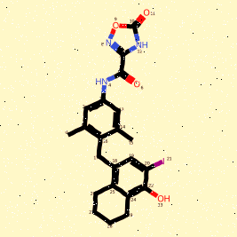 Cc1cc(NC(=O)c2noc(=O)[nH]2)cc(C)c1Cc1cc(I)c(O)c2c1CCCC2